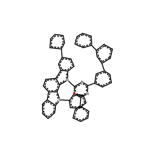 c1ccc(-c2cccc(-c3cccc(-c4nc(-c5ccccc5)nc(-n5c6ccc(-c7ccccc7)cc6c6ccc7c8ccccc8n(-c8ccccc8)c7c65)n4)c3)c2)cc1